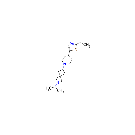 CCc1ncc(C2CCN(C3CC4(C3)CN(C(C)C)C4)CC2)s1